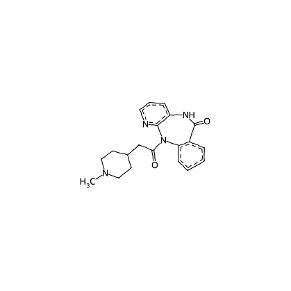 CN1CCC(CC(=O)N2c3ccccc3C(=O)Nc3cccnc32)CC1